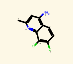 Cc1cc(N)c2ccc(Cl)c(Cl)c2n1